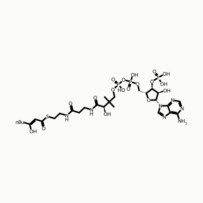 CCCCC(O)=CC(=O)SCCNC(=O)CCNC(=O)[C@H](O)C(C)(C)COP(=O)(O)OP(=O)(O)OC[C@H]1O[C@@H](n2cnc3c(N)ncnc32)[C@H](O)[C@@H]1OP(=O)(O)O